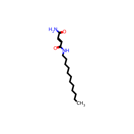 CCCCCCCCCCCCNC(=O)C=CC(N)=O